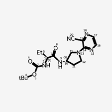 CC[C@H](NC(=O)OC(C)(C)C)C(=O)N[C@H]1CCN(c2nccnc2C#N)C1